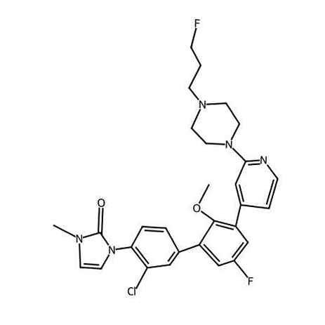 COc1c(-c2ccnc(N3CCN(CCCF)CC3)c2)cc(F)cc1-c1ccc(-n2ccn(C)c2=O)c(Cl)c1